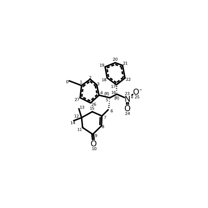 Cc1ccc([C@@H](CC2=CC(=O)CC(C)(C)C2)[C@H](c2ccccc2)[N+](=O)[O-])cc1